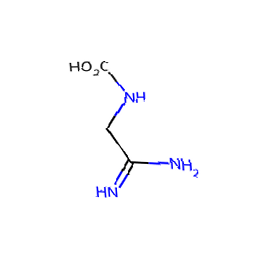 N=C(N)CNC(=O)O